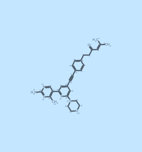 CC(C)=CC(=O)CCc1ccc(C#Cc2cc(-c3cnc(N)nc3C)nc(N3CCOCC3)c2)cc1